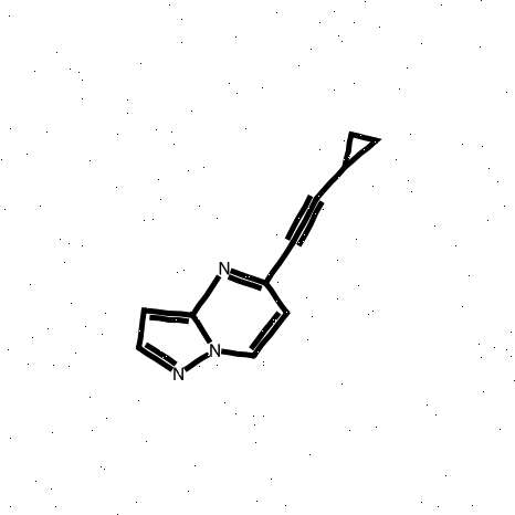 C(#CC1CC1)c1ccn2nccc2n1